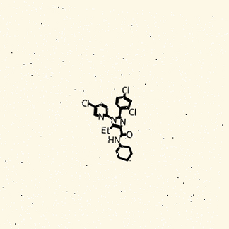 CCc1c(C(=O)NC2CCCCC2)nc(-c2ccc(Cl)cc2Cl)n1-c1ccc(Cl)cn1